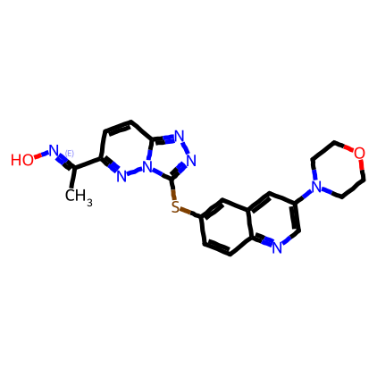 C/C(=N\O)c1ccc2nnc(Sc3ccc4ncc(N5CCOCC5)cc4c3)n2n1